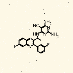 CC(Nc1nc(N)nc(N)c1C#N)c1cc2ccc(F)cc2nc1-c1cccc(F)c1